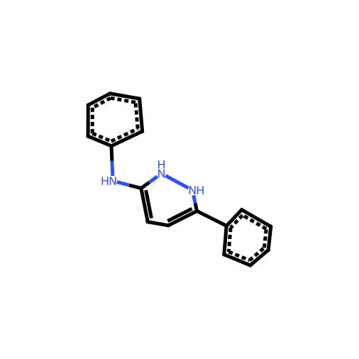 C1=C(Nc2ccccc2)NNC(c2ccccc2)=C1